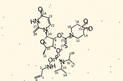 C=CCNOP(O[C@@H]1C(OC(=S)N2CCS(=O)(=O)CC2)[C@H](N2C=CC(=O)NC2=C)O[C@@H]1C)N(C(C)C)C(C)C